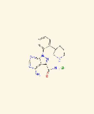 Cl.NC(=O)c1nn(-c2ccccc2C2CCCNC2)c2ncnc(N)c12